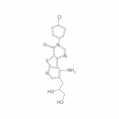 Nc1c(CC(O)CO)cnc2sc3c(=O)n(-c4ccc(Cl)cc4)cnc3c12